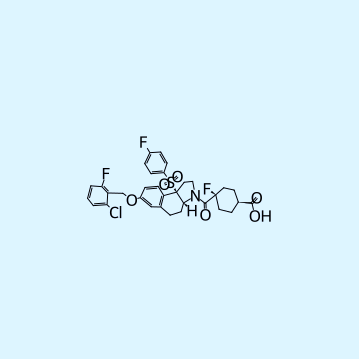 O=C(O)[C@H]1CC[C@](F)(C(=O)N2CC[C@@]3(S(=O)(=O)c4ccc(F)cc4)c4ccc(OCc5c(F)cccc5Cl)cc4CC[C@@H]23)CC1